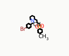 Cc1ccc(S(=O)(=O)CCCC2CCCCN2C(C#N)c2ccc(Br)cc2)cc1